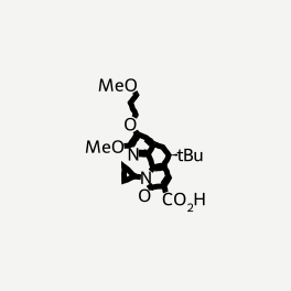 COCCCOc1cc2c(nc1OC)-c1c(cc(C(=O)O)c(=O)n1C1CC1)[C@@H](C(C)(C)C)C2